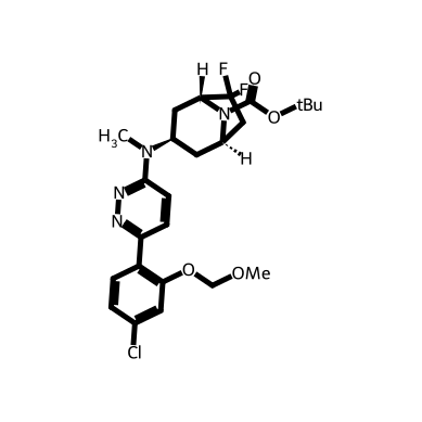 COCOc1cc(Cl)ccc1-c1ccc(N(C)[C@@H]2C[C@@H]3CC(F)(F)[C@@H](C2)N3C(=O)OC(C)(C)C)nn1